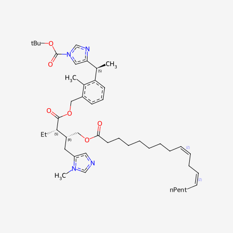 CCCCC/C=C\C/C=C\CCCCCCCC(=O)OC[C@H](Cc1cncn1C)[C@H](CC)C(=O)OCc1cccc([C@H](C)c2cn(C(=O)OC(C)(C)C)cn2)c1C